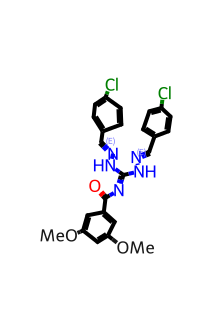 COc1cc(OC)cc(C(=O)N=C(N/N=C/c2ccc(Cl)cc2)N/N=C/c2ccc(Cl)cc2)c1